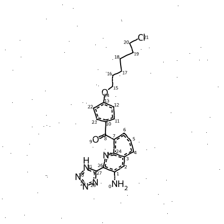 Nc1cc2cccc(C(=O)c3ccc(OCCCCCCCl)cc3)c2nc1-c1nnn[nH]1